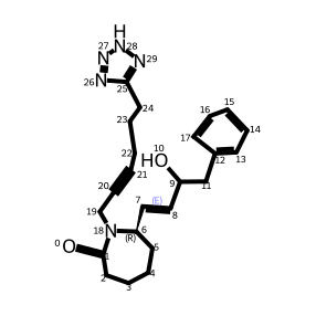 O=C1CCCC[C@H](/C=C/C(O)Cc2ccccc2)N1CC#CCCCc1nn[nH]n1